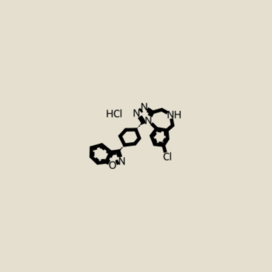 Cl.Clc1ccc2c(c1)CNCc1nnc([C@H]3CC[C@@H](c4noc5ccccc54)CC3)n1-2